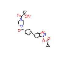 O=C(Oc1noc2cc(-c3ccc(C(=O)N4CCN(C(=O)C5(O)CC5)CC4)cc3)ccc12)C1CC1